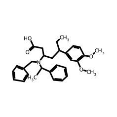 CCC(CC(CC(=O)O)N(Cc1ccccc1)C(C)c1ccccc1)c1ccc(OC)c(OC)c1